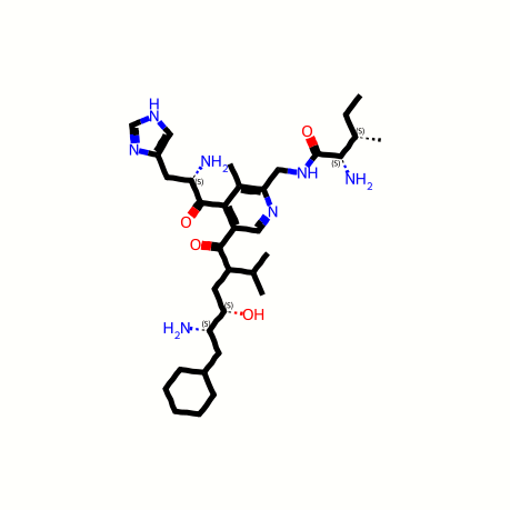 CC[C@H](C)[C@H](N)C(=O)NCc1ncc(C(=O)C(C[C@H](O)[C@@H](N)CC2CCCCC2)C(C)C)c(C(=O)[C@@H](N)Cc2c[nH]cn2)c1C